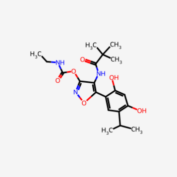 CCNC(=O)Oc1noc(-c2cc(C(C)C)c(O)cc2O)c1NC(=O)C(C)(C)C